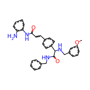 COc1cccc(CNC(C(=O)NCc2ccccc2)c2ccc(/C=C/C(=O)Nc3ccccc3N)cc2)c1